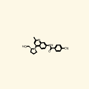 Cc1cc(N2CCC[C@H]2CO)c2ccc(NC(=O)c3ccc(C#N)cc3)cc2n1